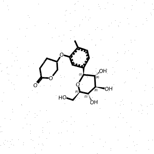 Cc1ccc([C@@H]2O[C@H](CO)[C@@H](O)[C@H](O)[C@H]2O)cc1OC1CCC(=O)OC1